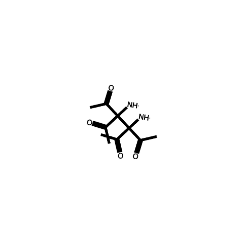 CC(=O)C([NH])(C(C)=O)C([NH])(C(C)=O)C(C)=O